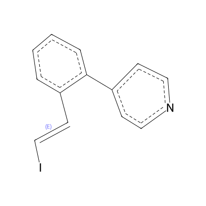 I/C=C/c1ccccc1-c1ccncc1